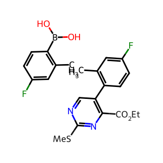 CCOC(=O)c1nc(SC)ncc1-c1ccc(F)cc1C.Cc1cc(F)ccc1B(O)O